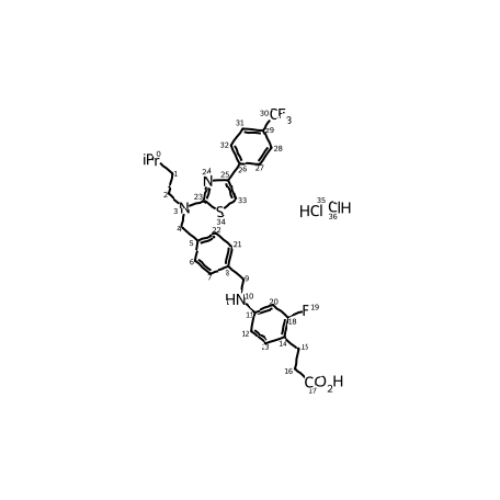 CC(C)CCN(Cc1ccc(CNc2ccc(CCC(=O)O)c(F)c2)cc1)c1nc(-c2ccc(C(F)(F)F)cc2)cs1.Cl.Cl